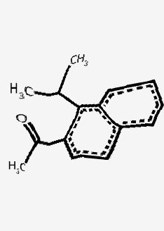 CC(=O)c1ccc2ccccc2c1C(C)C